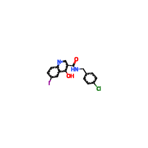 O=C(NCc1ccc(Cl)cc1)c1cnc2ccc(I)cc2c1O